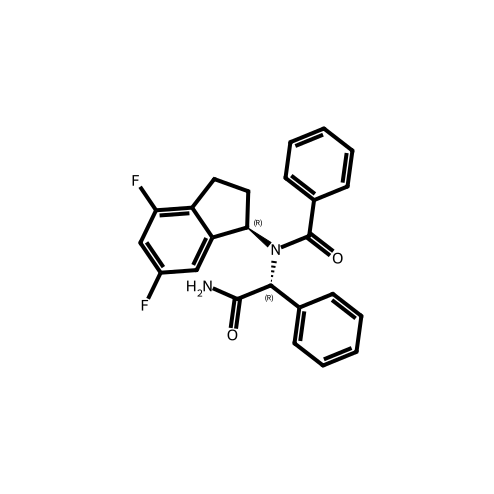 NC(=O)[C@@H](c1ccccc1)N(C(=O)c1ccccc1)[C@@H]1CCc2c(F)cc(F)cc21